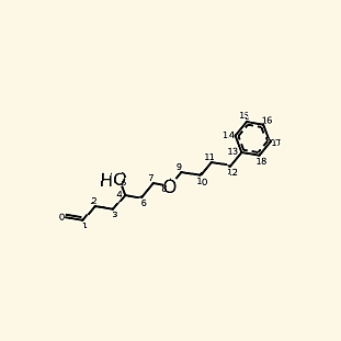 C=CCCC(O)CCOCCCCc1ccccc1